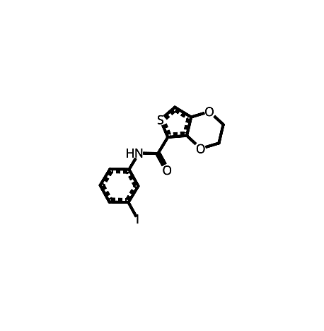 O=C(Nc1cccc(I)c1)c1scc2c1OCCO2